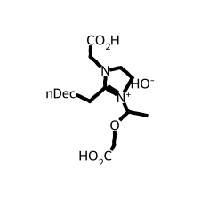 CCCCCCCCCCCC1=[N+](C(C)OCC(=O)O)CCN1CC(=O)O.[OH-]